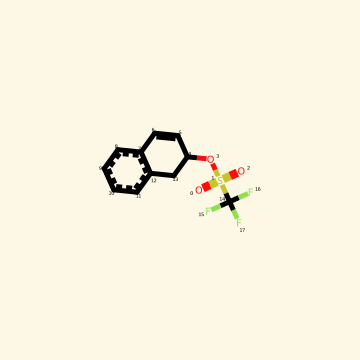 O=S(=O)(OC1C=Cc2ccccc2C1)C(F)(F)F